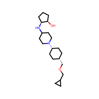 O[C@@H]1CCC[C@@H]1NC1CCN([C@H]2CC[C@@H](COCC3CC3)CC2)CC1